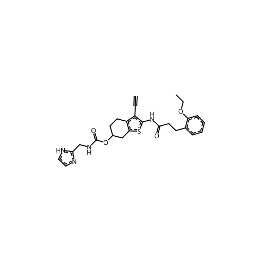 C#Cc1c(NC(=O)CCc2ccccc2OCC)sc2c1CCC(OC(=O)NCc1ncc[nH]1)C2